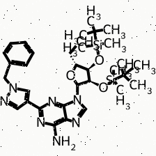 CC[C@H]1OC(n2cnc3c(N)nc(-c4cnn(Cc5ccccc5)c4)nc32)[C@H](O[Si](C)(C)C(C)(C)C)[C@@H]1O[Si](C)(C)C(C)(C)C